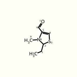 CCC1SC=C(C=O)N1C